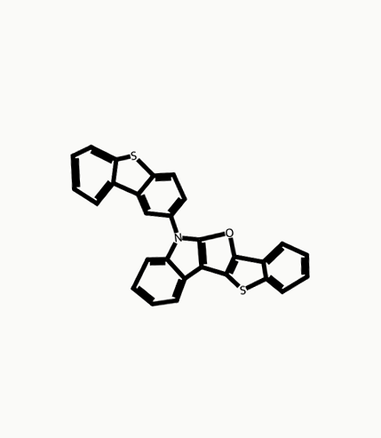 c1ccc2c(c1)sc1ccc(-n3c4ccccc4c4c5sc6ccccc6c5oc43)cc12